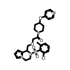 Cc1cccc(Cl)c1S(=O)(=O)N1CCn2cccc2C1COCC(=O)N1CCC(Oc2ccncc2)CC1